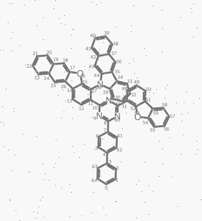 c1ccc(-c2ccc(-c3nc(-c4ccc5c(oc6cc7ccccc7cc65)c4-n4c5ccccc5c5cc6ccccc6cc54)nc(-c4cccc5c4oc4ccccc45)n3)cc2)cc1